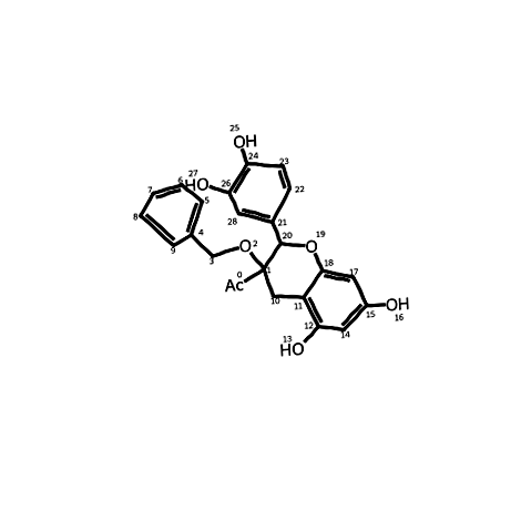 CC(=O)C1(OCc2ccccc2)Cc2c(O)cc(O)cc2OC1c1ccc(O)c(O)c1